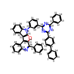 c1ccc(-c2ccc(-c3nc(-c4ccccc4)nc(-c4cccc(-n5c6ccccc6c6c7c(oc65)c(-c5ccccc5)nc5ccccc57)c4)n3)cc2)cc1